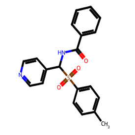 Cc1ccc(S(=O)(=O)C(NC(=O)c2ccccc2)c2ccncc2)cc1